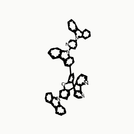 c1cnc2c(c1)C1(c3ccc(-c4ccc5c(c4)c4ccccc4n5-c4ccc(-n5c6ccccc6c6ccccc65)cn4)cc3Oc3cc(-n4c5ccccc5c5ccccc54)ccc31)c1cccnc1-2